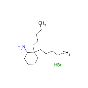 Br.CCCCCC1(CCCCC)CCCCC1N